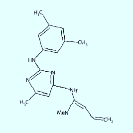 C=C/C=C(\NC)Nc1cc(C)nc(Nc2cc(C)cc(C)c2)n1